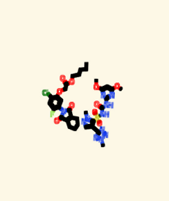 CCCCCOC(=O)COc1cc(N2C(=O)C3=C(CCCC3)C2=O)c(F)cc1Cl.COc1cc(OC)nc(NC(=O)NS(=O)(=O)c2c(-c3nnn(C)n3)cnn2C)n1